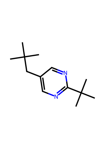 CC(C)(C)Cc1cnc(C(C)(C)C)nc1